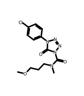 COCCCN(C)C(=O)n1nnn(-c2ccc(Cl)cc2)c1=O